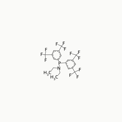 CCN(CC)P(c1cc(C(F)(F)F)cc(C(F)(F)F)c1)c1cc(C(F)(F)F)cc(C(F)(F)F)c1